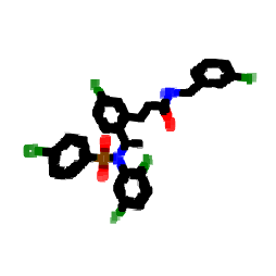 C[C@H](c1ccc(F)cc1CCC(=O)NCc1cccc(F)c1)N(c1cc(F)ccc1F)S(=O)(=O)c1ccc(Cl)cc1